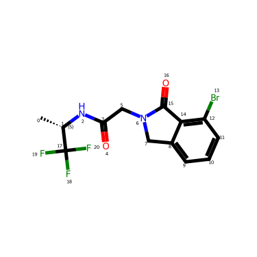 C[C@H](NC(=O)CN1Cc2cccc(Br)c2C1=O)C(F)(F)F